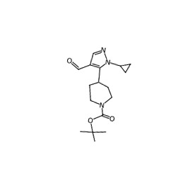 CC(C)(C)OC(=O)N1CCC(c2c(C=O)cnn2C2CC2)CC1